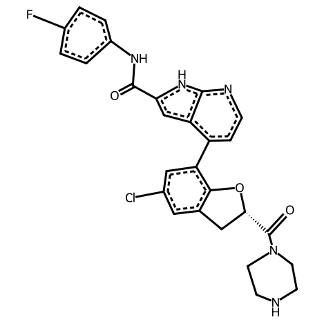 O=C(Nc1ccc(F)cc1)c1cc2c(-c3cc(Cl)cc4c3O[C@H](C(=O)N3CCNCC3)C4)ccnc2[nH]1